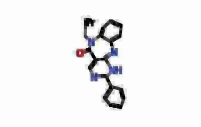 CC(C)CN1C(=O)C2=CN=C(c3ccccc3)NC2=Nc2ccccc21